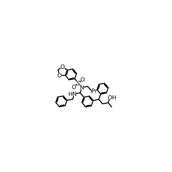 CC(C)CN(C(NCc1ccccc1)c1cccc(C(CC(C)O)c2ccccc2)c1)S(=O)(=O)c1ccc2c(c1)OCO2